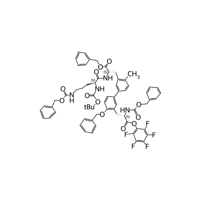 Cc1ccc(-c2ccc(OCc3ccccc3)c(C[C@H](NC(=O)OCc3ccccc3)C(=O)Oc3c(F)c(F)c(F)c(F)c3F)c2)cc1C[C@H](NC(=O)[C@H](CCCNC(=O)OCc1ccccc1)NC(=O)OC(C)(C)C)C(=O)OCc1ccccc1